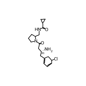 N[C@@H](CC(=O)N1CCCC1CNC(=O)C1CC1)CC1=CC=CC(Cl)C1